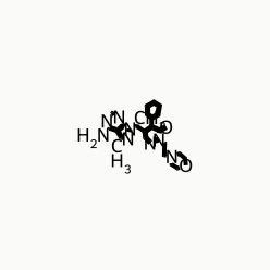 Cc1nn(C(C)c2cnn(CCN3CCOCC3)c(=O)c2-c2ccccc2)c2ncnc(N)c12